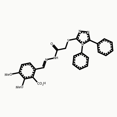 COc1ccc(/C=N/NC(=O)CSc2nnc(-c3ccccc3)n2-c2ccccc2)c(C(=O)O)c1OC